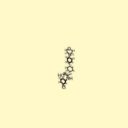 ON=C(C[C@H]1CC[C@H](c2ccc(N3CCOCC3)cc2)CC1)Nc1cccc(Cl)c1